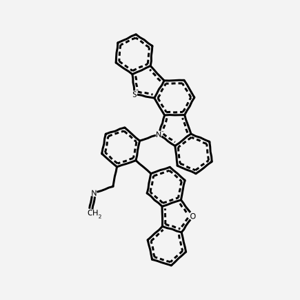 C=NCc1cccc(-n2c3ccccc3c3ccc4c5ccccc5sc4c32)c1-c1ccc2oc3ccccc3c2c1